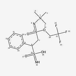 C[Si](C)(C)N=S(=O)(CC(c1ccccc1)S(=N)(=O)O)OCC(F)(F)F